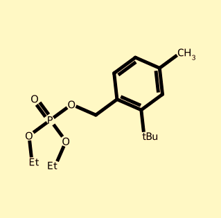 CCOP(=O)(OCC)OCc1ccc(C)cc1C(C)(C)C